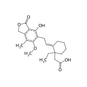 CCC1(CC(=O)O)CCCC/C1=C\Cc1c(O)c2c(c(C)c1OC)COC2=O